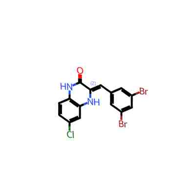 O=C1Nc2ccc(Cl)cc2N/C1=C\c1cc(Br)cc(Br)c1